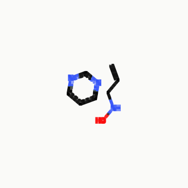 C=CCNO.c1cncnc1